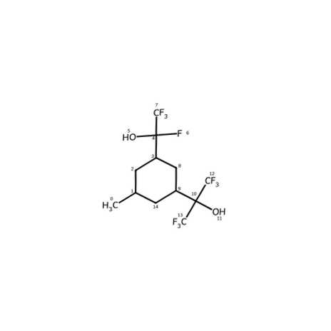 CC1CC(C(O)(F)C(F)(F)F)CC(C(O)(C(F)(F)F)C(F)(F)F)C1